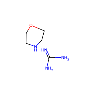 C1COCCN1.N=C(N)N